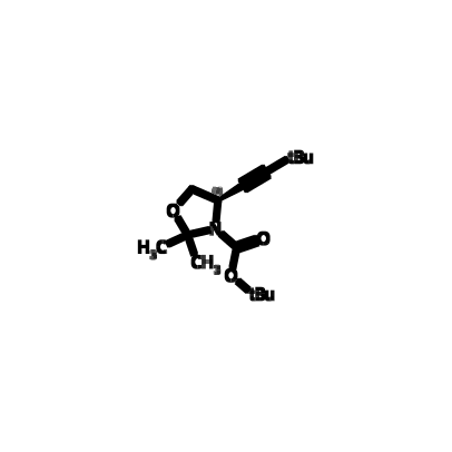 CC(C)(C)C#C[C@@H]1COC(C)(C)N1C(=O)OC(C)(C)C